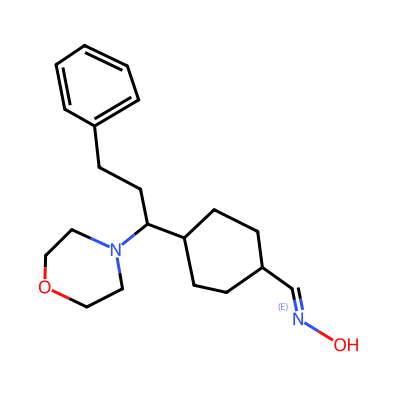 O/N=C/C1CCC(C(CCc2ccccc2)N2CCOCC2)CC1